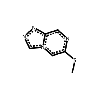 CSc1cn2cnnc2cn1